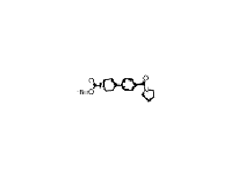 CC(C)(C)OC(=O)N1CC=C(c2ccc(C(=O)N3CCCC3)cc2)CC1